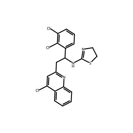 Clc1cccc(C(Cc2cc(Cl)c3ccccc3n2)NC2=NCCS2)c1Cl